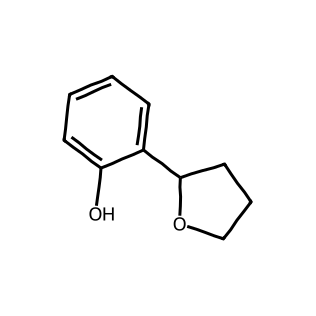 Oc1ccccc1C1CCCO1